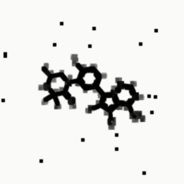 C[C@H]1CN(c2cc(-c3c(F)c(Cl)c4c(N)ncnn34)ccc2F)C(=O)C(C)(C)O1